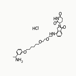 CC(N)c1cccc(OCCCCCCOCCOCCNc2cccc3c2CN(C2CCC(=O)NC2=O)C3=O)c1.Cl